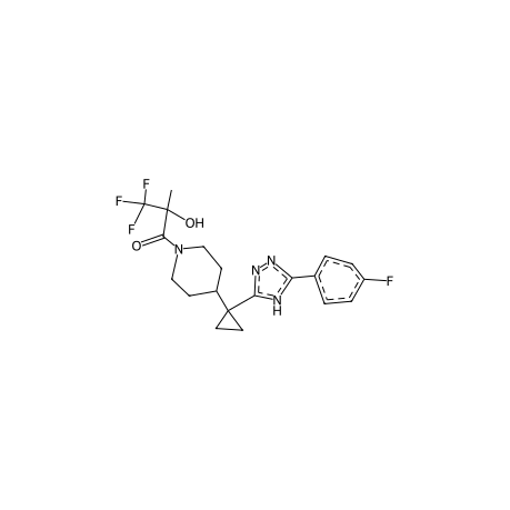 CC(O)(C(=O)N1CCC(C2(c3nnc(-c4ccc(F)cc4)[nH]3)CC2)CC1)C(F)(F)F